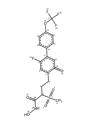 CS(=O)(=O)C(CCn1cc(F)c(-c2ccc(OC(F)(F)F)cc2)cc1=O)C(=O)NO